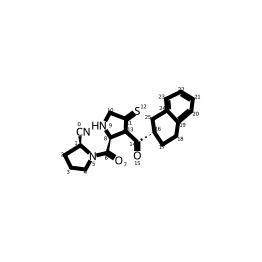 N#C[C@@H]1CCCN1C(=O)[C@H]1NCC(=S)C1C(=O)[C@H]1CCc2ccccc2C1